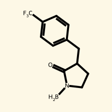 BN1CCC(Cc2ccc(C(F)(F)F)cc2)C1=O